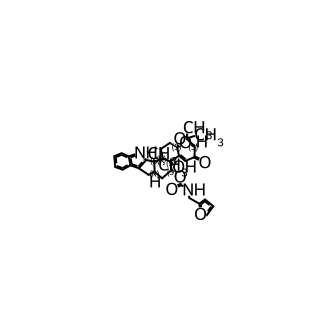 CC1(C)O[C@@]23CC[C@]4(C)[C@@]5(C)c6[nH]c7ccccc7c6C[C@@H]5C[C@H](OC(=O)NCc5ccco5)[C@@]4(O)C2=CC(=O)[C@H]1O3